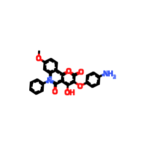 COc1ccc2c3oc(=O)c(Oc4ccc(N)cc4)c(O)c3c(=O)n(-c3ccccc3)c2c1